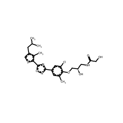 Cc1cc(-c2noc(-c3scc(CC(C)C)c3C)n2)cc(Cl)c1OC[C@H](O)CNC(=O)CO